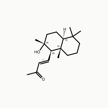 CC(=O)/C=C/[C@@H]1[C@@]2(C)CCCC(C)(C)[C@@H]2CC[C@@]1(C)O